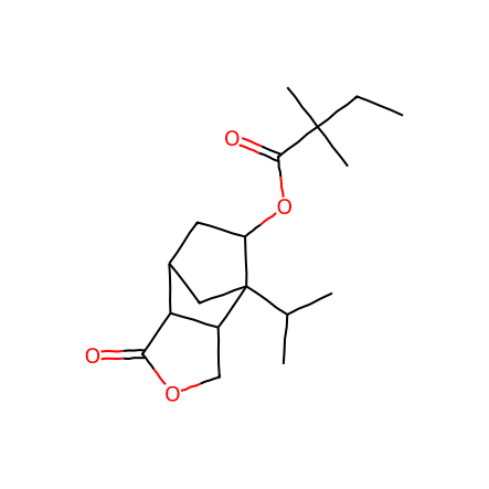 CCC(C)(C)C(=O)OC1CC2CC1(C(C)C)C1COC(=O)C21